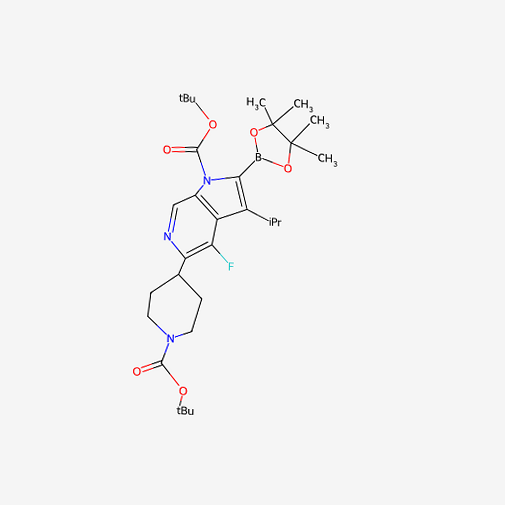 CC(C)c1c(B2OC(C)(C)C(C)(C)O2)n(C(=O)OC(C)(C)C)c2cnc(C3CCN(C(=O)OC(C)(C)C)CC3)c(F)c12